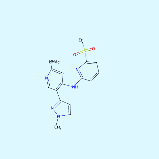 CCS(=O)(=O)c1cccc(Nc2cc(NC(C)=O)ncc2-c2ccn(C)n2)n1